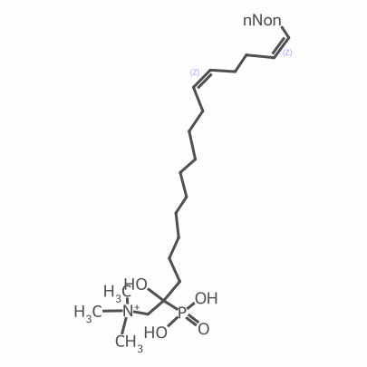 CCCCCCCCC/C=C\CC/C=C\CCCCCCCCCC(O)(C[N+](C)(C)C)P(=O)(O)O